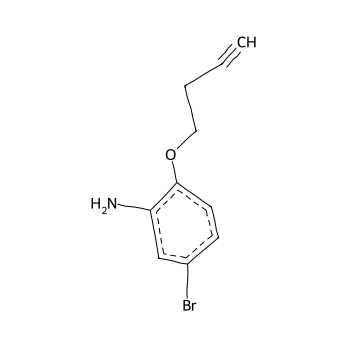 C#CCCOc1ccc(Br)cc1N